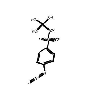 [N-]=[N+]=Nc1ccc(S(=O)(=O)NC(O)(O)O)cc1